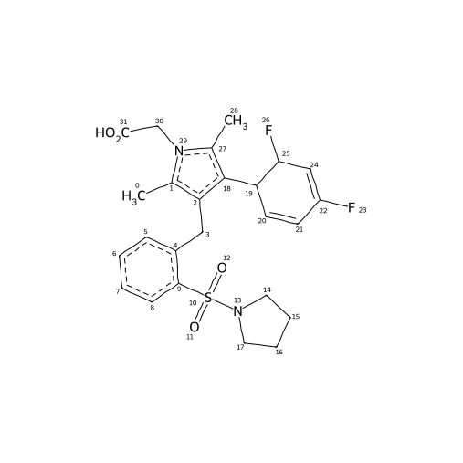 Cc1c(Cc2ccccc2S(=O)(=O)N2CCCC2)c(C2C=CC(F)=CC2F)c(C)n1CC(=O)O